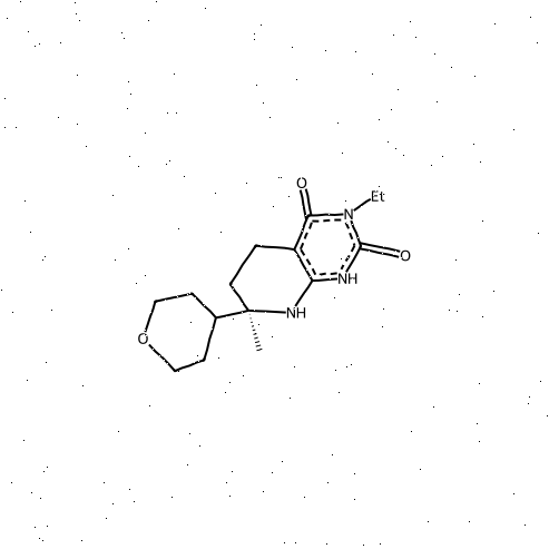 CCn1c(=O)[nH]c2c(c1=O)CC[C@](C)(C1CCOCC1)N2